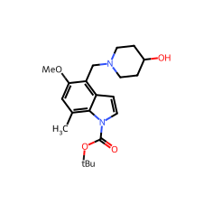 COc1cc(C)c2c(ccn2C(=O)OC(C)(C)C)c1CN1CCC(O)CC1